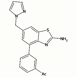 CC(=O)c1cccc(-c2cc(Cn3cccn3)cc3sc(N)nc23)c1